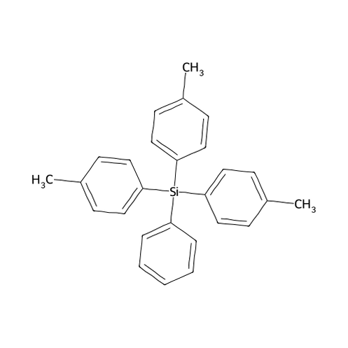 Cc1ccc([Si](c2ccccc2)(c2ccc(C)cc2)c2ccc(C)cc2)cc1